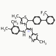 CC1=NN(/C(=N/c2nnc(C)s2)Nc2ccc(C)c(C)c2)C(c2ccc(-c3ccccc3C(F)(F)F)cc2)S1